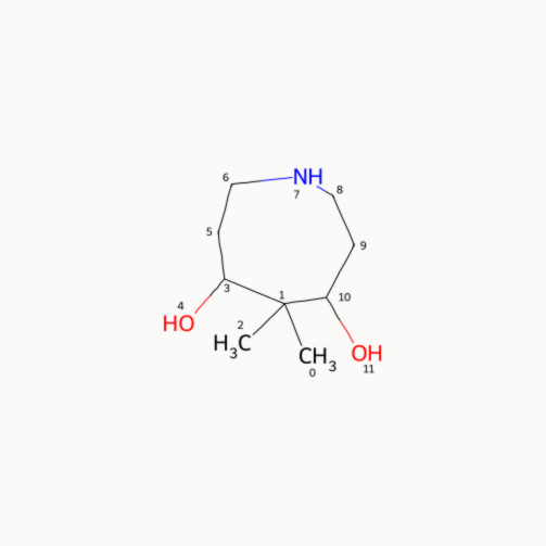 CC1(C)C(O)CCNCCC1O